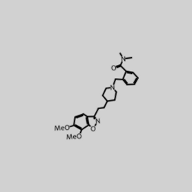 COc1ccc2c(CCC3CCN(Cc4ccccc4C(=O)N(C)C)CC3)noc2c1OC